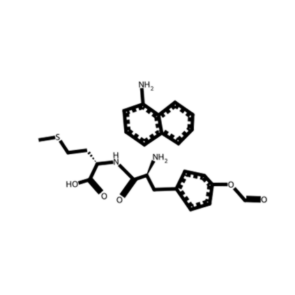 CSCC[C@H](NC(=O)[C@@H](N)Cc1ccc(OC=O)cc1)C(=O)O.Nc1cccc2ccccc12